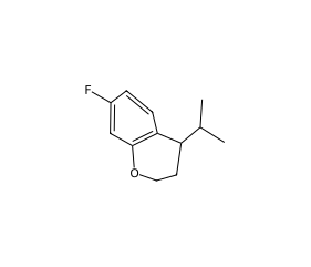 CC(C)C1CCOc2cc(F)ccc21